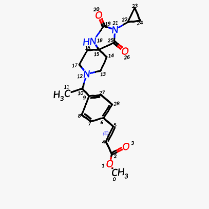 COC(=O)/C=C/c1ccc(C(C)N2CCC3(CC2)NC(=O)N(C2CC2)C3=O)cc1